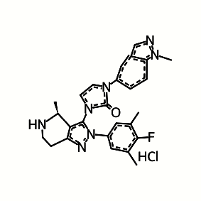 Cc1cc(-n2nc3c(c2-n2ccn(-c4ccc5c(cnn5C)c4)c2=O)[C@H](C)NCC3)cc(C)c1F.Cl